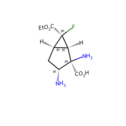 CCOC(=O)[C@@]1(F)[C@@H]2C[C@@H](N)[C@@](N)(C(=O)O)[C@@H]21